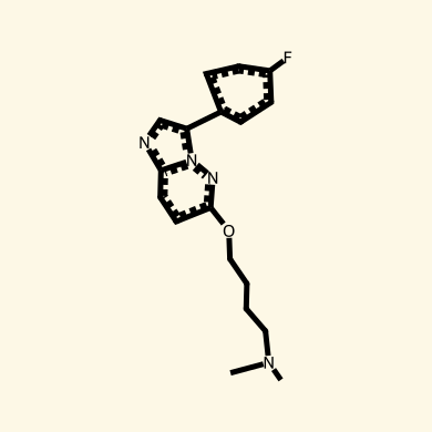 CN(C)CCCCOc1ccc2ncc(-c3ccc(F)cc3)n2n1